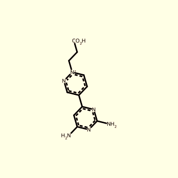 Nc1cc(-c2cc[n+](CCC(=O)O)nc2)nc(N)n1